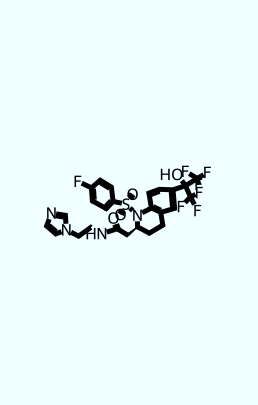 O=C(C[C@@H]1CCc2cc(C(O)(C(F)(F)F)C(F)(F)F)ccc2N1S(=O)(=O)c1ccc(F)cc1)NCCn1ccnc1